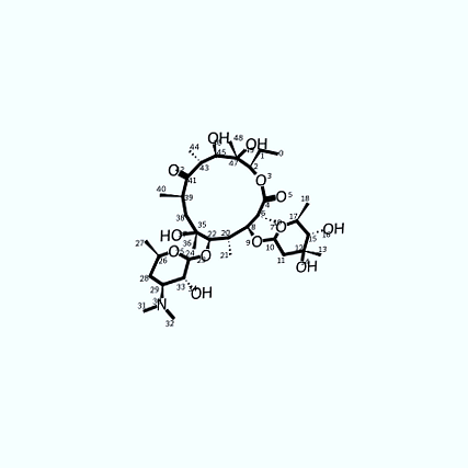 CC[C@H]1OC(=O)[C@H](C)[C@@H](OC2C[C@@](C)(O)[C@@H](O)[C@H](C)O2)[C@H](C)[C@@H](OC2O[C@H](C)C[C@H](N(C)C)[C@H]2O)[C@](C)(O)C[C@@H](C)C(=O)[C@H](C)[C@@H](O)[C@]1(C)O